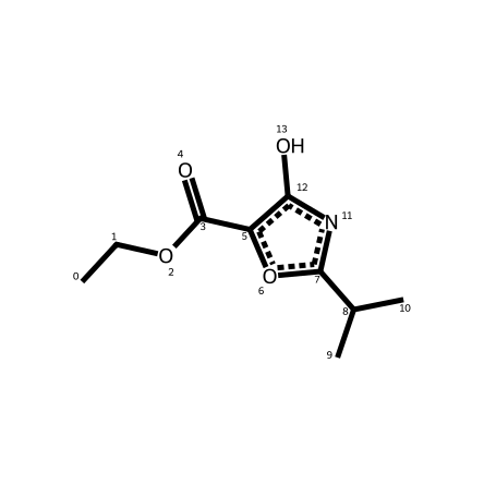 CCOC(=O)c1oc(C(C)C)nc1O